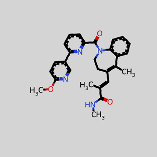 CNC(=O)/C(C)=C/C1=C(C)c2ccccc2N(C(=O)c2cccc(-c3ccc(OC)nc3)n2)CC1